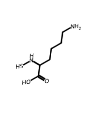 NCCCCC(NS)C(=O)O